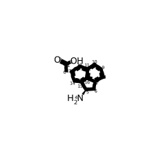 CC(=O)O.N[C@@H]1Cc2cccc3cccc1c23